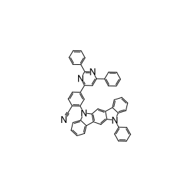 N#Cc1ccc(-c2cc(-c3ccccc3)nc(-c3ccccc3)n2)cc1-n1c2ccccc2c2cc3c(cc21)c1ccccc1n3-c1ccccc1